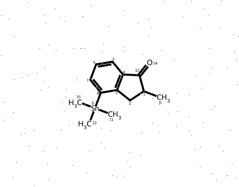 CC1Cc2c(ccc[c]2[Sn]([CH3])([CH3])[CH3])C1=O